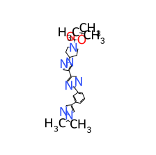 CC(C)n1cc(-c2cccc(-c3ncc(-c4cnn(C5CCN(C(=O)OC(C)(C)C)CC5)c4)cn3)c2)cn1